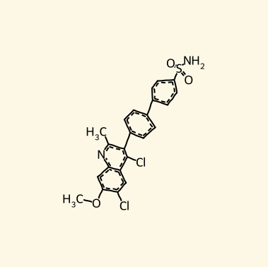 COc1cc2nc(C)c(-c3ccc(-c4ccc(S(N)(=O)=O)cc4)cc3)c(Cl)c2cc1Cl